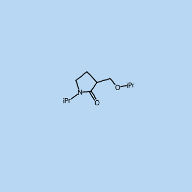 CC(C)OCC1CCN(C(C)C)C1=O